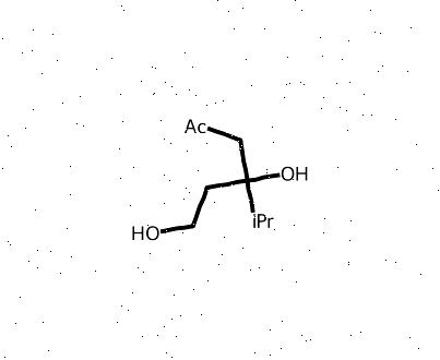 CC(=O)CC(O)(CCO)C(C)C